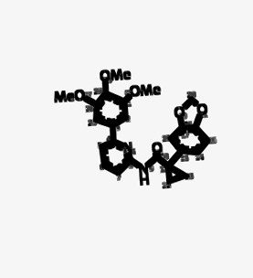 COc1cc(-c2cccc(NC(=O)C3(c4ccc5c(c4)OCO5)CC3)n2)cc(OC)c1OC